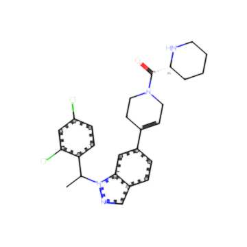 CC(c1ccc(Cl)cc1Cl)n1ncc2ccc(C3=CCN(C(=O)[C@H]4CCCCN4)CC3)cc21